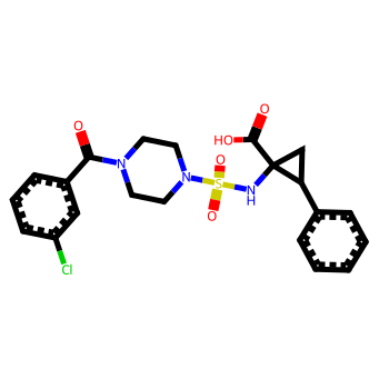 O=C(c1cccc(Cl)c1)N1CCN(S(=O)(=O)NC2(C(=O)O)CC2c2ccccc2)CC1